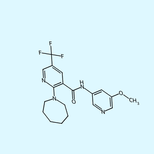 COc1cncc(NC(=O)c2cc(C(F)(F)F)cnc2N2CCCCCC2)c1